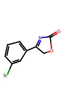 O=C1N=C(c2cccc(Br)c2)CO1